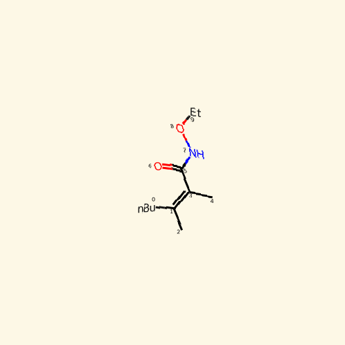 CCCCC(C)=C(C)C(=O)NOCC